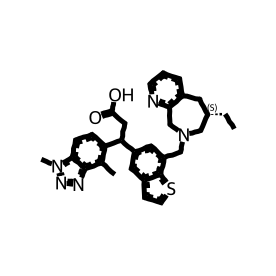 CC[C@H]1Cc2cccnc2CN(Cc2cc(C(CC(=O)O)c3ccc4c(nnn4C)c3C)cc3ccsc23)C1